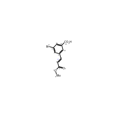 CC(C)(C)OC(=O)/C=C/c1cc(Br)cc(C(=O)O)c1